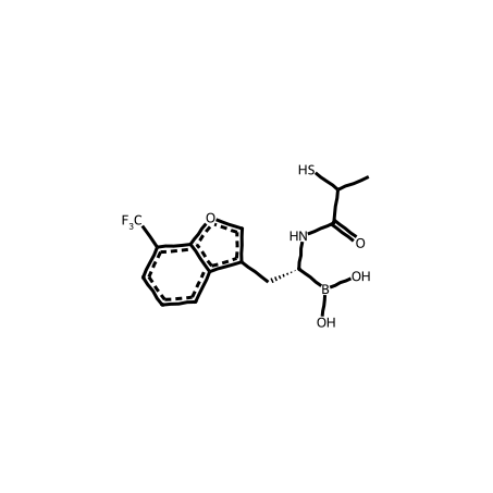 CC(S)C(=O)N[C@@H](Cc1coc2c(C(F)(F)F)cccc12)B(O)O